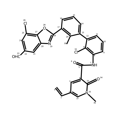 C=Cc1cc(C(=O)Nc2cccc(-c3cccc(-c4nc5cc(C=O)cc(Cl)c5o4)c3C)c2Cl)c(=O)n(C)c1